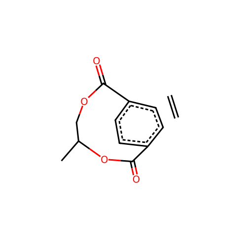 C=C.CC1COC(=O)c2ccc(cc2)C(=O)O1